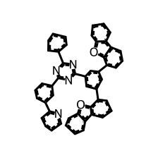 c1ccc(-c2nc(-c3cccc(-c4ccccn4)c3)nc(-c3cc(-c4cccc5c4oc4ccccc45)cc(-c4cccc5c4oc4ccccc45)c3)n2)cc1